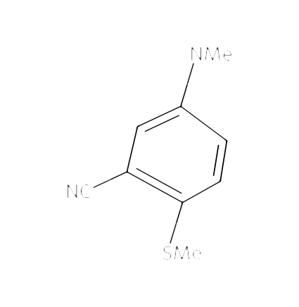 CNc1ccc(SC)c(C#N)c1